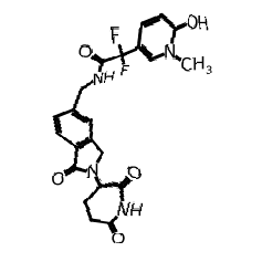 CN1C=C(C(F)(F)C(=O)NCc2ccc3c(c2)CN(C2CCC(=O)NC2=O)C3=O)C=CC1O